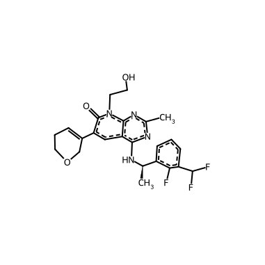 Cc1nc(N[C@H](C)c2cccc(C(F)F)c2F)c2cc(C3=CCCOC3)c(=O)n(CCO)c2n1